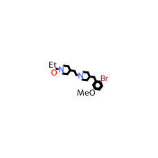 CCC(=O)N1CCC(CCN2CCC(Cc3cc(OC)ccc3Br)CC2)CC1